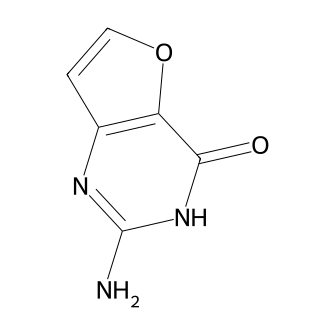 Nc1nc2ccoc2c(=O)[nH]1